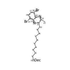 CCCCCCCCCCCCCCCCCCCCc1nc2c(Br)ccc(Br)c2nc1C